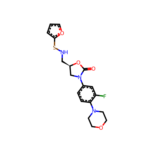 O=C1O[C@H](CNSc2ccco2)CN1c1ccc(N2CCOCC2)c(F)c1